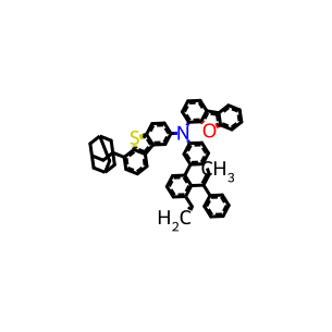 C=Cc1cccc(-c2cccc(N(c3ccc4sc5c(C67CC8CC(CC(C8)C6)C7)cccc5c4c3)c3cccc4c3oc3ccccc34)c2)c1/C(=C\C)c1ccccc1